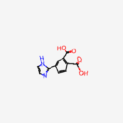 O=C(O)c1ccc(-c2ncc[nH]2)cc1C(=O)O